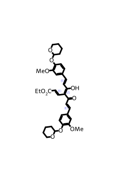 CCOC(=O)/C=C/C(C(=O)/C=C/c1ccc(OC2CCCCO2)c(OC)c1)=C(O)\C=C\c1ccc(OC2CCCCO2)c(OC)c1